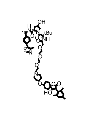 Cc1cc(C)c(C2=C(O)C3(CCC(OC4CCN(CCOCCOCCOCC(=O)N[C@H](C(=O)N5C[C@H](O)C[C@H]5C(=O)N[C@@H](C)c5ccc(-c6scnc6C)cc5)C(C)(C)C)CC4)CC3)OC2=O)c(C)c1